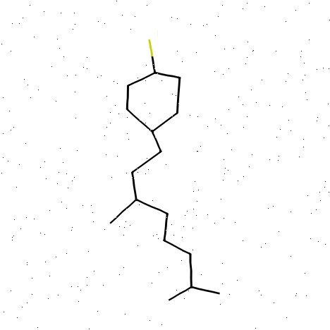 CC(C)CCCC(C)CCC1CCC(S)CC1